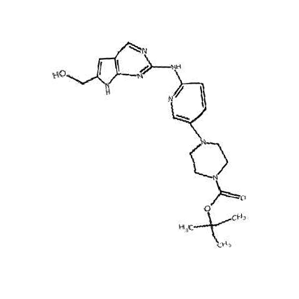 CC(C)(C)OC(=O)N1CCN(c2ccc(Nc3ncc4cc(CO)[nH]c4n3)nc2)CC1